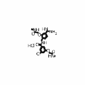 CNC(=O)COc1cc(Cl)cc(C(=O)NCc2ccc(C(=N)N)cc2OCC(=O)NC)c1.Cl